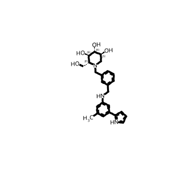 Cc1cc(NCc2cccc(CN3C[C@H](O)[C@@H](O)[C@H](O)[C@H]3CO)c2)cc(-c2ccc[nH]2)c1